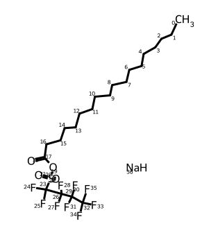 CCCCCCCCCCCCCCCCCC(=O)OS(=O)(=O)C(F)(F)C(F)(F)C(F)(F)C(F)(F)F.[NaH]